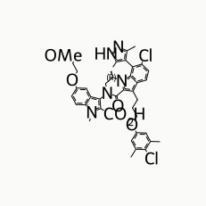 COCCOc1ccc2c(c1)c(N1C[C@@H](C)n3c(c(CCCOc4cc(C)c(Cl)c(C)c4)c4ccc(Cl)c(-c5c(C)n[nH]c5C)c43)C1=O)c(C(=O)O)n2C